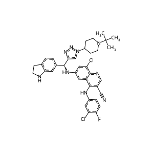 CC(C)(C)N1CCC(n2cc([C@@H](Nc3cc(Cl)c4ncc(C#N)c(Nc5ccc(F)c(Cl)c5)c4c3)c3ccc4c(c3)NCC4)nn2)CC1